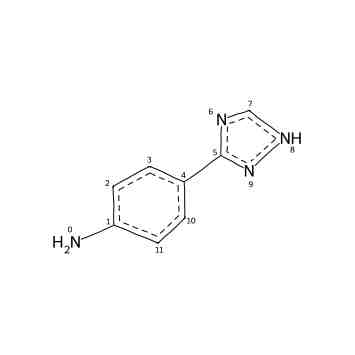 Nc1ccc(-c2nc[nH]n2)cc1